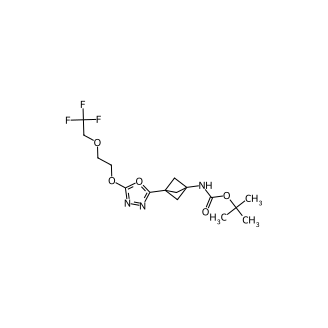 CC(C)(C)OC(=O)NC12CC(c3nnc(OCCOCC(F)(F)F)o3)(C1)C2